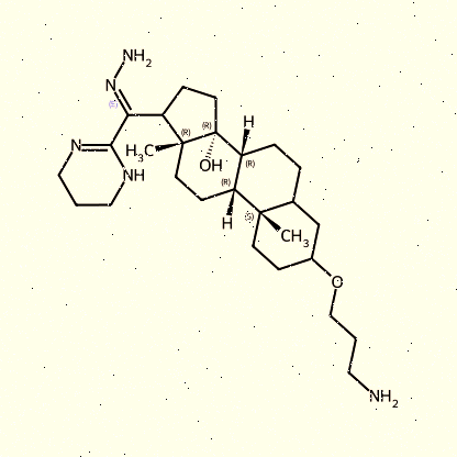 C[C@]12CCC(OCCCN)CC1CC[C@@H]1[C@H]2CC[C@]2(C)C(/C(=N\N)C3=NCCCN3)CC[C@@]12O